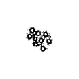 c1ccc(-n2c3ccccc3c3cc(N(c4ccc5c(c4)C(c4ccccc4)(c4ccccc4)c4ccccc4-5)c4cccc5c4Oc4ccccc4O5)ccc32)cc1